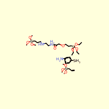 C=CC[Si](OC)(OC)OC.CCO[Si](CCCOCC1CO1)(OCC)OCC.CO[Si](CCCNCCN)(OC)OC.Nc1ccc([SiH3])cc1